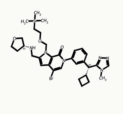 Cn1cnnc1[C@@H](c1cccc(-n2cc(Br)c3cc(CN[C@@H]4CCOC4)n(COCC[Si](C)(C)C)c3c2=O)c1)C1CCC1